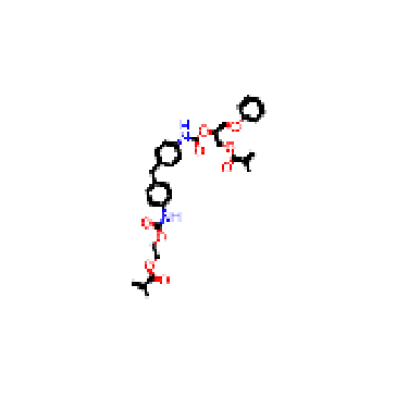 C=C(C)C(=O)OCCOC(=O)NC1CCC(CC2CCC(NC(=O)OC(COC(=O)C(=C)C)COc3ccccc3)CC2)CC1